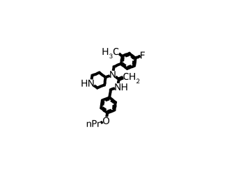 C=C(NCc1ccc(OCCC)cc1)N(Cc1ccc(F)cc1C)C1CCNCC1